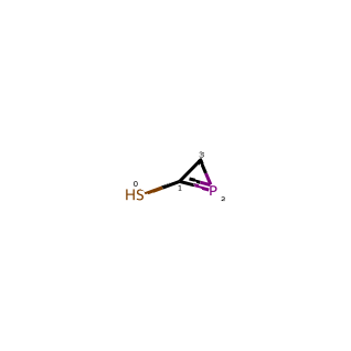 SC1=PC1